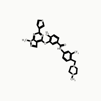 Cc1ccc(C(=O)Nc2ccc(CN3CCN(C)CC3)c(C(F)(F)F)c2)cc1Oc1nc(-c2ccsc2)nc2c1cnn2C